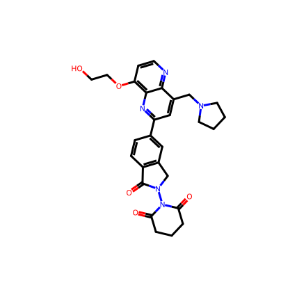 O=C1c2ccc(-c3cc(CN4CCCC4)c4nccc(OCCO)c4n3)cc2CN1N1C(=O)CCCC1=O